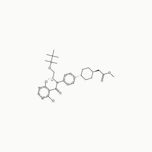 COC(=O)C[C@H]1CC[C@H](c2ccc(N(C(=O)c3c(Cl)ncnc3Cl)[C@H](C)CO[Si](C)(C)C(C)(C)C)cc2)CC1